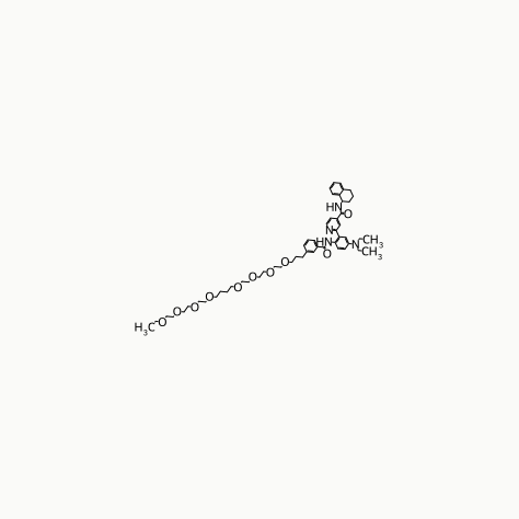 CCOCCOCCOCCOCCCCOCCOCCOCCOCCCc1cccc(C(=O)Nc2ccc(N(CC)CC)cc2-c2cc(C(=O)NC3CCCc4ccccc43)ccn2)c1